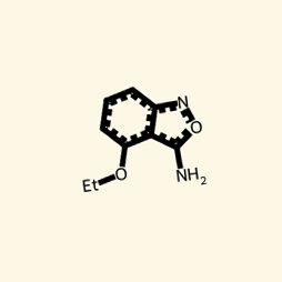 CCOc1cccc2noc(N)c12